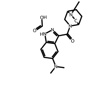 CN(C)c1ccc2[nH]nc(C(=O)N3CC4CCC3CN4C)c2c1.O=CO